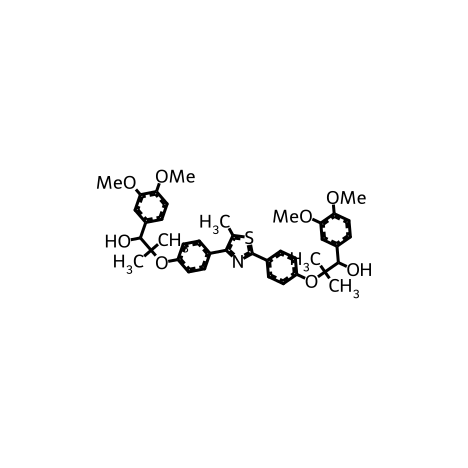 COc1ccc(C(O)C(C)(C)Oc2ccc(-c3nc(-c4ccc(OC(C)(C)C(O)c5ccc(OC)c(OC)c5)cc4)c(C)s3)cc2)cc1OC